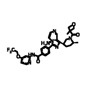 C[C@H]1CC[C@@H](C2=C3C=NC=C[N+]3(N)C(c3ccc(C(=O)Nc4cc(OCC(F)(F)F)ccn4)cc3)=N2)CN1C(=O)C1(C)COC1